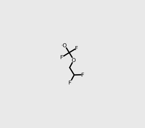 [O]C(F)(F)OCC(F)F